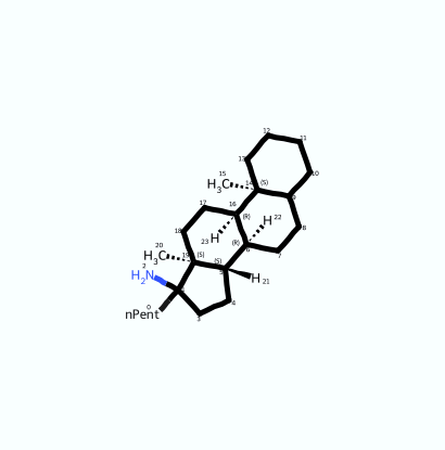 CCCCCC1(N)CC[C@H]2[C@@H]3CCC4CCCC[C@]4(C)[C@@H]3CC[C@@]21C